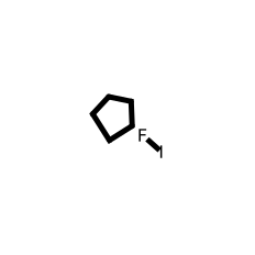 C1CCCC1.FI